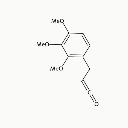 COc1ccc(CC=C=O)c(OC)c1OC